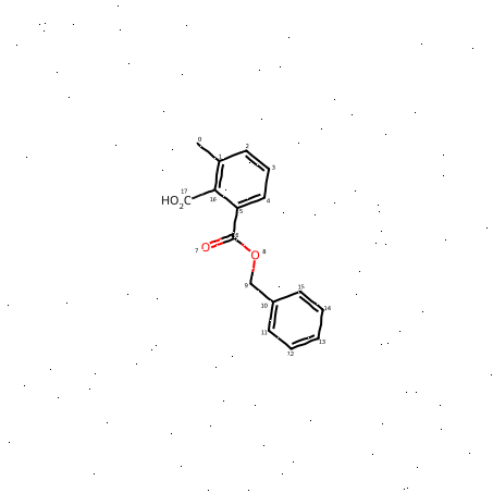 Cc1cccc(C(=O)OCc2ccccc2)c1C(=O)O